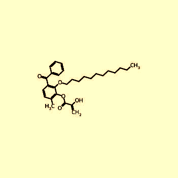 C=C(O)C(=O)Oc1c(C)ccc(C(=O)c2ccccc2)c1OCCCCCCCCCCCC